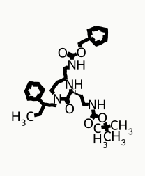 CCC(CN1CCC(CNC(=O)OCc2ccccc2)N[C@@H](CCNC(=O)OC(C)(C)C)C1=O)c1ccccc1